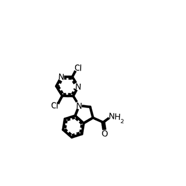 NC(=O)C1CN(c2nc(Cl)ncc2Cl)c2ccccc21